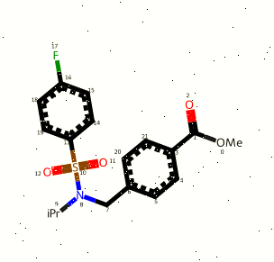 COC(=O)c1ccc(CN(C(C)C)S(=O)(=O)c2ccc(F)cc2)cc1